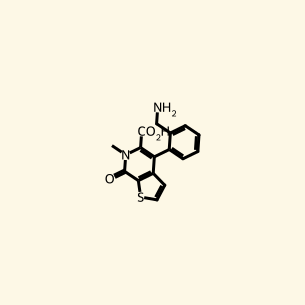 Cn1c(C(=O)O)c(-c2ccccc2CN)c2ccsc2c1=O